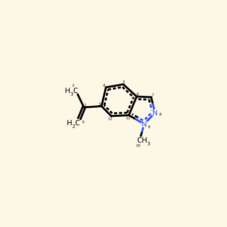 C=C(C)c1ccc2cnn(C)c2c1